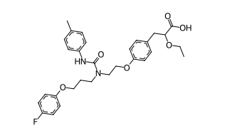 CCOC(Cc1ccc(OCCN(CCCOc2ccc(F)cc2)C(=O)Nc2ccc(C)cc2)cc1)C(=O)O